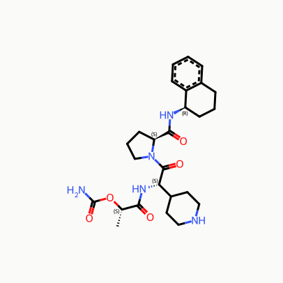 C[C@H](OC(N)=O)C(=O)N[C@H](C(=O)N1CCC[C@H]1C(=O)N[C@@H]1CCCc2ccccc21)C1CCNCC1